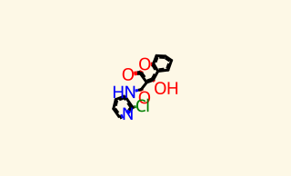 O=C(Nc1cccnc1Cl)c1c(O)c2ccccc2oc1=O